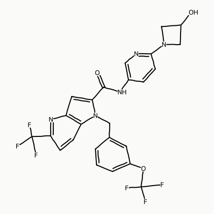 O=C(Nc1ccc(N2CC(O)C2)nc1)c1cc2nc(C(F)(F)F)ccc2n1Cc1cccc(OC(F)(F)F)c1